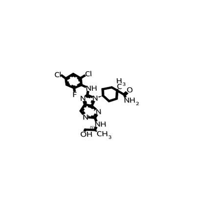 C[C@@H](CO)Nc1ncc2nc(Nc3c(F)cc(Cl)cc3Cl)n([C@H]3CC[C@](C)(C(N)=O)CC3)c2n1